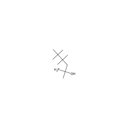 CC(O)(P)CC(C)(C)C(C)(C)C